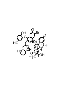 CC1(C)O[C@@H]2C[C@H]3[C@@H]4C[C@H](F)C5=CC(=O)C=C[C@]5(C)[C@H]4[C@@H](O)C[C@]3(C)[C@]2(C(=O)CO)O1.O=C(C[C@@H]1NCCC[C@H]1O)Cn1cnc2cc(Br)c(Cl)cc2c1=O.Oc1ccc(O)cc1